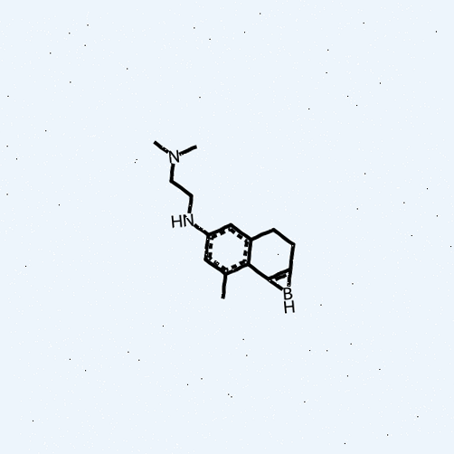 Cc1cc(NCCN(C)C)cc2c1C1=C(B1)CC2